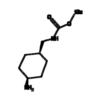 CC(C)(C)OC(=O)NC[C@H]1CC[C@@H](N)CC1